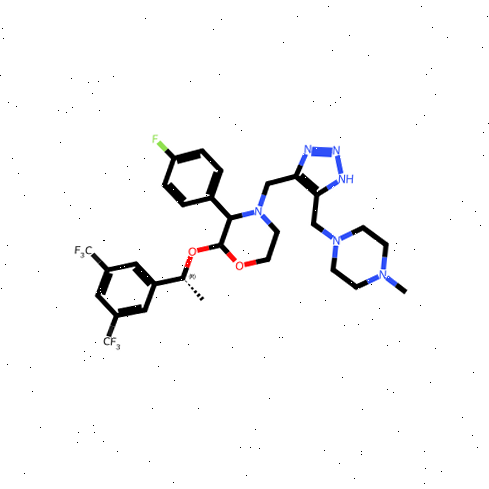 C[C@@H](OC1OCCN(Cc2nn[nH]c2CN2CCN(C)CC2)C1c1ccc(F)cc1)c1cc(C(F)(F)F)cc(C(F)(F)F)c1